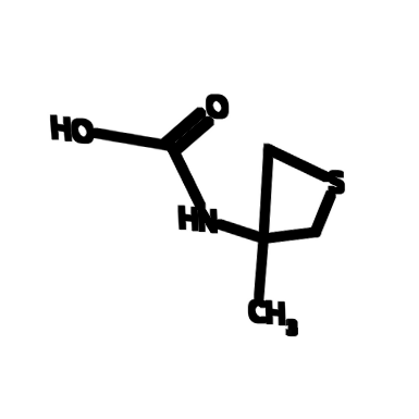 CC1(NC(=O)O)CSC1